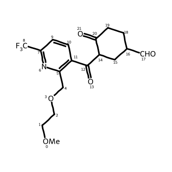 COCCOCc1nc(C(F)(F)F)ccc1C(=O)C1CC(C=O)CCC1=O